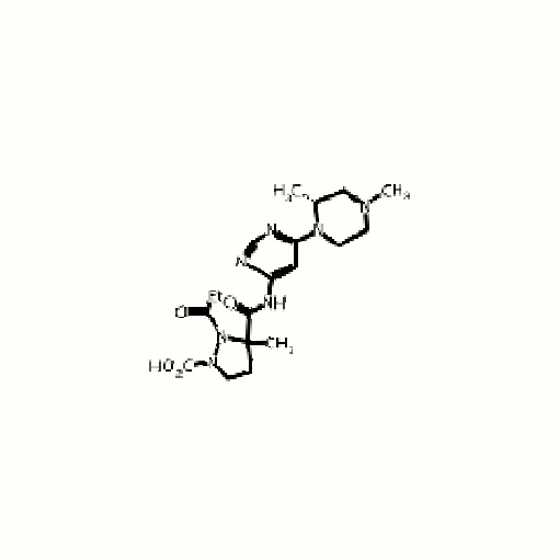 CCC(=O)N1N(C(=O)O)CCC1(C)C(=O)Nc1cc(N2CCN(C)C[C@H]2C)ncn1